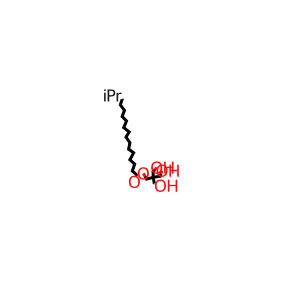 CC(C)CCCCCCCCCCCCCCC(=O)OCC(CO)(CO)CO